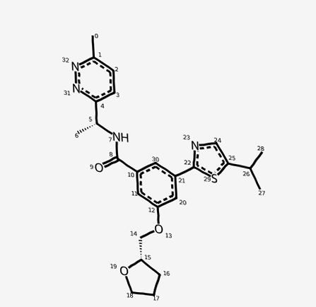 Cc1ccc([C@@H](C)NC(=O)c2cc(OC[C@@H]3CCCO3)cc(-c3ncc(C(C)C)s3)c2)nn1